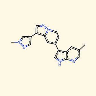 Cc1cnc2[nH]cc(-c3ccn4ncc(-c5cnn(C)c5)c4c3)c2c1